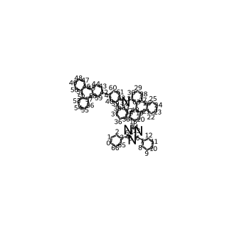 c1ccc(-c2nc(-c3ccccc3)nc(-c3ccc4c(c3)c3ccccc3c3cccc(-n5c6ccccc6c6cc(-c7ccc8c9ccccc9c9ccccc9c8c7)ccc65)c34)n2)cc1